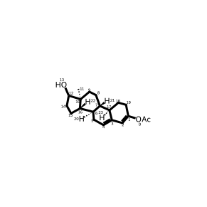 CC(=O)OC1=CC2=CC[C@@H]3[C@H](CC[C@]4(C)C(O)CC[C@@H]34)[C@H]2CC1